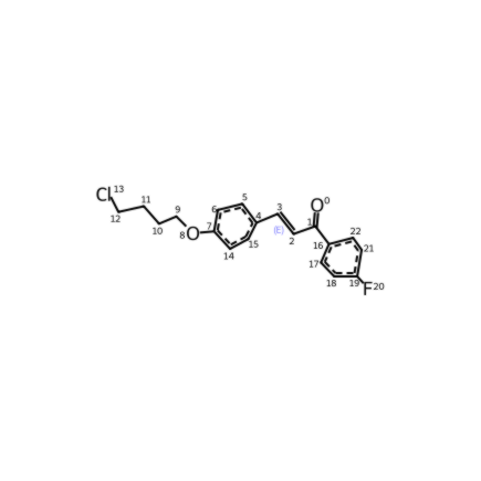 O=C(/C=C/c1ccc(OCCCCCl)cc1)c1ccc(F)cc1